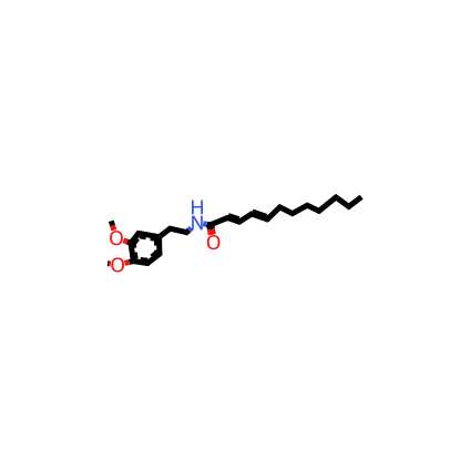 CCCCCCC/C=C/C=C/C(=O)NCCc1ccc(OC)c(OC)c1